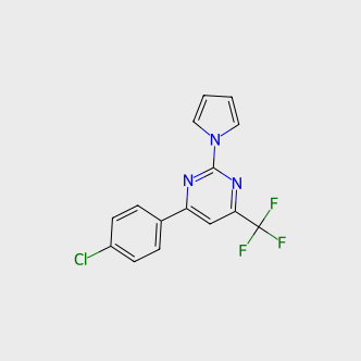 FC(F)(F)c1cc(-c2ccc(Cl)cc2)nc(-n2cccc2)n1